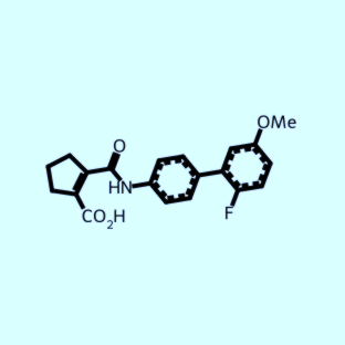 COc1ccc(F)c(-c2ccc(NC(=O)C3=C(C(=O)O)CCC3)cc2)c1